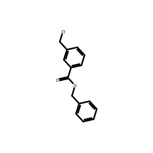 O=C(OCc1c[c]ccc1)c1cccc(CCl)c1